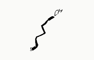 C#CCCCC=S